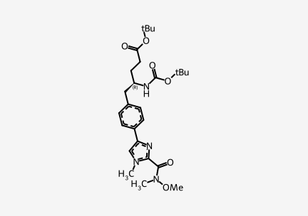 CON(C)C(=O)c1nc(-c2ccc(C[C@@H](CCC(=O)OC(C)(C)C)NC(=O)OC(C)(C)C)cc2)cn1C